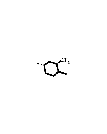 CC1CC[C@H](C)C[C@H]1C(F)(F)F